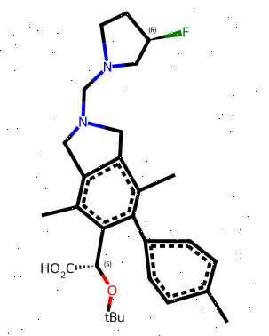 Cc1ccc(-c2c(C)c3c(c(C)c2[C@H](OC(C)(C)C)C(=O)O)CN(CN2CC[C@@H](F)C2)C3)cc1